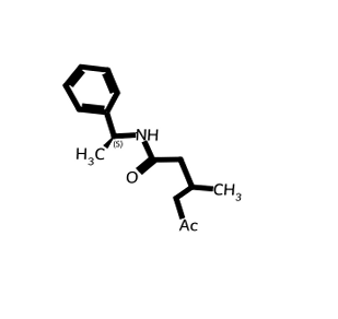 CC(=O)CC(C)CC(=O)N[C@@H](C)c1ccccc1